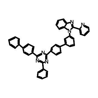 c1ccc(-c2ccc(-c3nc(-c4ccccc4)nc(-c4ccc(-c5cccc(-n6c(-c7ccccn7)nc7ccccc76)c5)cc4)n3)cc2)cc1